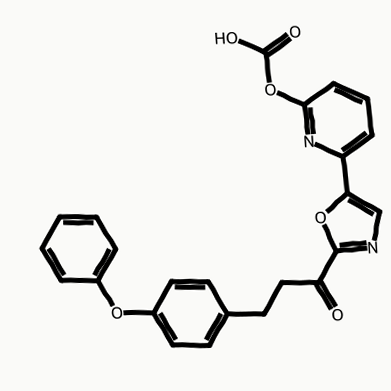 O=C(O)Oc1cccc(-c2cnc(C(=O)CCc3ccc(Oc4ccccc4)cc3)o2)n1